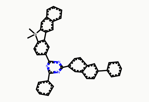 C[Si]1(C)c2ccc(-c3nc(-c4ccccc4)nc(-c4ccc5cc(-c6ccccc6)ccc5c4)n3)cc2-c2cc3ccccc3cc21